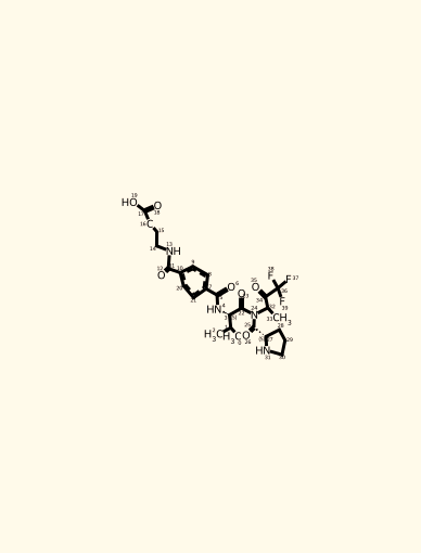 CC(C)[C@H](NC(=O)c1ccc(C(=O)NCCCC(=O)O)cc1)C(=O)N(C(=O)[C@@H]1CCCN1)C(C)C(=O)C(F)(F)F